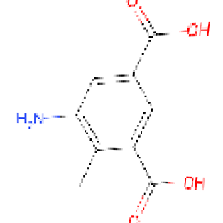 Cc1c(N)cc(C(=O)O)cc1C(=O)O